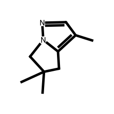 Cc1cnn2c1CC(C)(C)C2